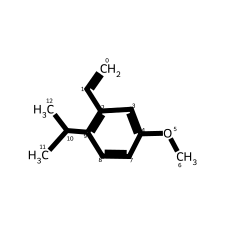 C=[C]c1cc(OC)ccc1C(C)C